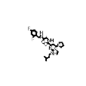 CCN1C(NCCC(C)C)N=C(C(=O)N[C@@H](C)C(=O)NCc2ccc(F)cc2F)CC1N1CCCC1